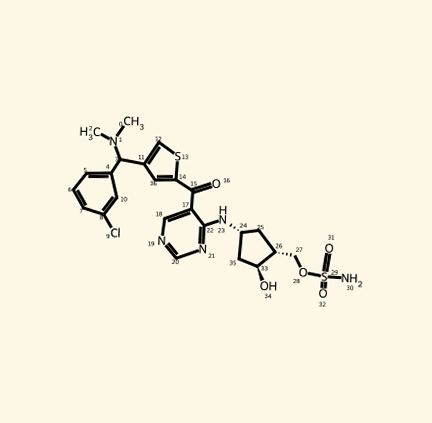 CN(C)C(c1cccc(Cl)c1)c1csc(C(=O)c2cncnc2N[C@@H]2C[C@H](COS(N)(=O)=O)[C@@H](O)C2)c1